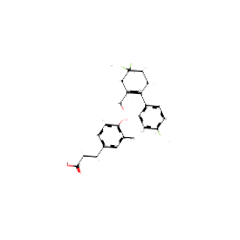 Cc1cc(CCC(=O)O)ccc1OCC1=C(c2ccc(F)cc2)CCC(F)(F)C1